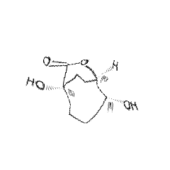 O=C1O[C@@H]2C[C@@]1(O)CC[C@H]2O